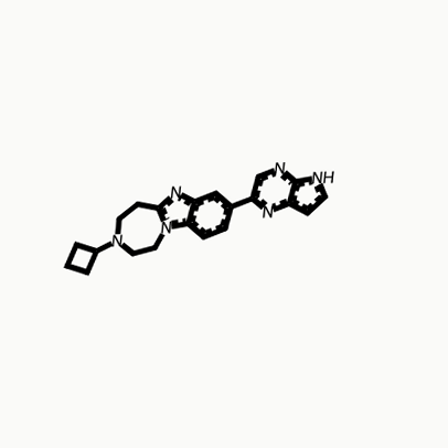 c1cc2nc(-c3ccc4c(c3)nc3n4CCN(C4CCC4)CC3)cnc2[nH]1